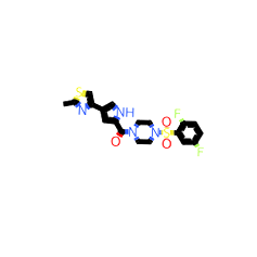 Cc1nc(-c2c[nH]c(C(=O)N3CCN(S(=O)(=O)c4cc(F)ccc4F)CC3)c2)cs1